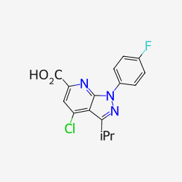 CC(C)c1nn(-c2ccc(F)cc2)c2nc(C(=O)O)cc(Cl)c12